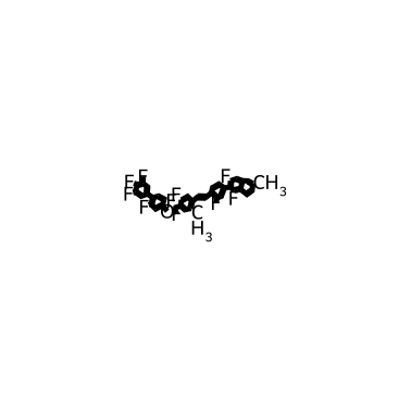 Cc1ccc2c(F)c(-c3ccc(C#Cc4cc(F)c(C(F)(F)Oc5ccc(-c6cc(F)c(F)c(F)c6)c(F)c5)cc4C)c(F)c3)c(F)cc2c1